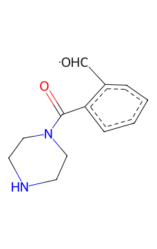 O=[C]c1ccccc1C(=O)N1CCNCC1